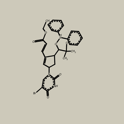 CCOC(=O)C=CC1=CC(n2cc(Br)c(=O)[nH]c2=O)CC1C(O[SiH](c1ccccc1)c1ccccc1)C(C)(C)C